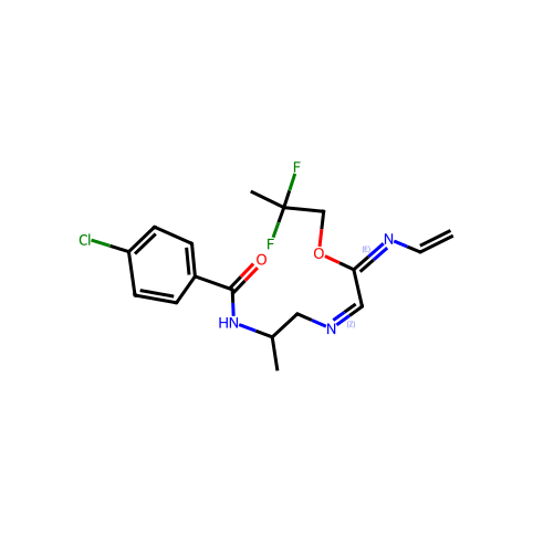 C=C/N=C(\C=N/CC(C)NC(=O)c1ccc(Cl)cc1)OCC(C)(F)F